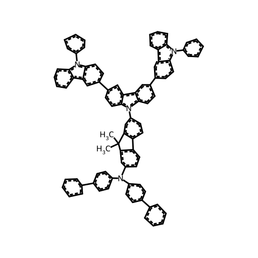 CC1(C)c2cc(N(c3ccc(-c4ccccc4)cc3)c3ccc(-c4ccccc4)cc3)ccc2-c2ccc(-n3c4ccc(-c5ccc6c(c5)c5ccccc5n6-c5ccccc5)cc4c4cc(-c5ccc6c(c5)c5ccccc5n6-c5ccccc5)ccc43)cc21